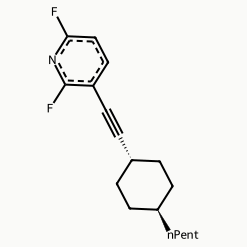 CCCCC[C@H]1CC[C@H](C#Cc2ccc(F)nc2F)CC1